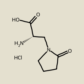 Cl.N[C@@H](CN1CCCC1=O)C(=O)O